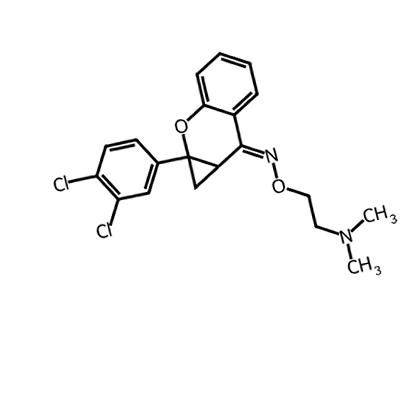 CN(C)CCON=C1c2ccccc2OC2(c3ccc(Cl)c(Cl)c3)CC12